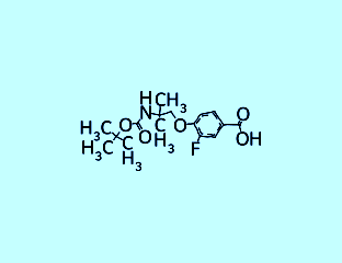 CC(C)(COc1ccc(C(=O)O)cc1F)NC(=O)OC(C)(C)C